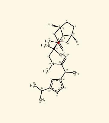 CC(=O)N1[C@@H]2CC[C@H]1C[C@H](C(C)(C)CN(C)C(=O)C(C)n1cnc(C(C)C)c1)C2